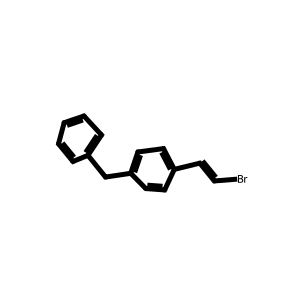 BrC=Cc1ccc(Cc2ccccc2)cc1